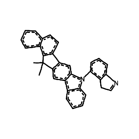 CC1(C)c2cc3c4ccccc4n(-c4cccc5c4CC=N5)c3cc2-c2ccc3ccccc3c21